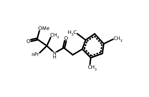 CCCC(C)(NC(=O)Cc1c(C)cc(C)cc1C)C(=O)OC